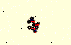 c1ccc(-c2ccc(N(c3ccccc3)c3cccc(N(c4ccccc4)c4cccc(-c5ccc6c7ccccc7n(-c7ccccc7)c6c5)c4)c3)cc2)cc1